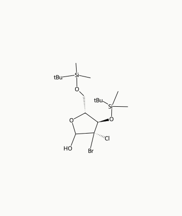 CC(C)(C)[Si](C)(C)OC[C@H]1OC(O)[C@](Cl)(Br)[C@@H]1O[Si](C)(C)C(C)(C)C